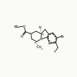 C[C@@H]1CN(C(=O)OC(C)(C)C)C[C@H]2Cc3cc(Br)c(CF)nc3N21